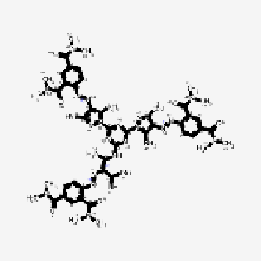 CN(C)C(=O)c1ccc(/N=N/C(C(=N)C(C)(C)C)=C(\N)Nc2nc(-n3nc(C(C)(C)C)c(/N=N/c4ccc(C(=O)N(C)C)cc4C(=O)N(C)C)c3N)nc(-n3nc(C(C)(C)C)c(/N=N/c4ccc(C(=O)N(C)C)cc4C(=O)N(C)C)c3N)n2)c(C(=O)N(C)C)c1